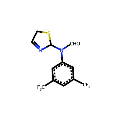 O=CN(c1cc(C(F)(F)F)cc(C(F)(F)F)c1)C1N=CCS1